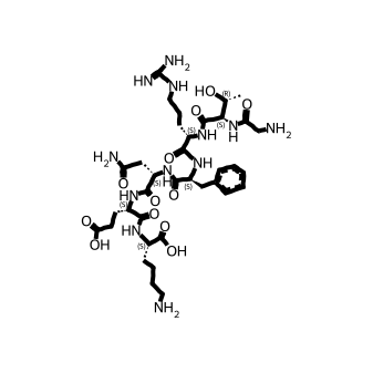 C[C@@H](O)[C@H](NC(=O)CN)C(=O)N[C@@H](CCCNC(=N)N)C(=O)N[C@@H](Cc1ccccc1)C(=O)N[C@@H](CC(N)=O)C(=O)N[C@@H](CCC(=O)O)C(=O)N[C@@H](CCCCN)C(=O)O